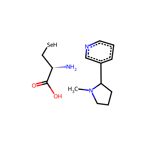 CN1CCCC1c1cccnc1.N[C@@H](C[SeH])C(=O)O